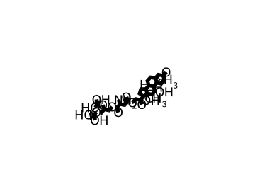 C[C@]12C=CC(=O)C=C1CC[C@@H]1[C@@H]2[C@@H](O)C[C@@]2(C)[C@H]1CC[C@]2(O)C(=O)COC(=O)CC(N)C(=O)OCC(CON(O)O)ON(O)O